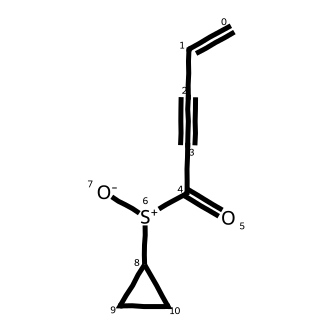 C=CC#CC(=O)[S+]([O-])C1CC1